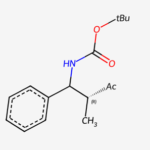 CC(=O)[C@H](C)C(NC(=O)OC(C)(C)C)c1ccccc1